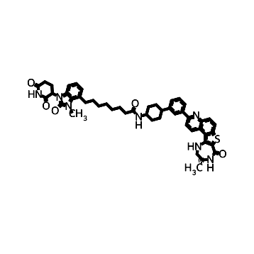 C[C@@H]1CNc2c(sc3ccc4nc(-c5cccc(C6CCC(NC(=O)CCCCCCCc7cccc8c7n(C)c(=O)n8C7CCC(=O)NC7=O)CC6)c5)ccc4c23)C(=O)N1